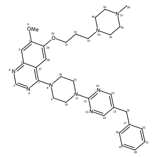 COc1cc2ncnc(N3CCN(c4ncc(Cc5ccccc5)cn4)CC3)c2cc1OCCCN1CCN(C)CC1